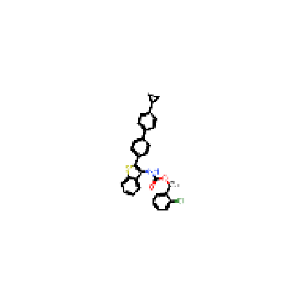 C[C@@H](OC(=O)Nc1c(-c2ccc(-c3ccc(C4CC4)cc3)cc2)sc2ccccc12)c1ccccc1Cl